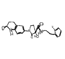 O=C1CCc2cc(N3CCC(O)(C(=O)NCCc4ccccc4F)C3=O)ccc2N1